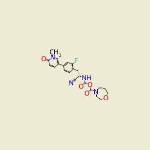 Cn1cc(-c2ccc(C[C@@H](C#N)NC(=O)OC(=O)N3CCCOCC3)c(F)c2)ccc1=O